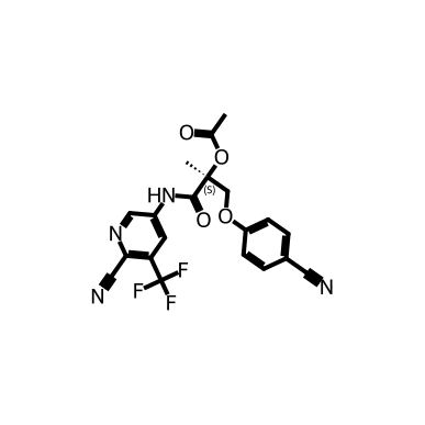 CC(=O)O[C@@](C)(COc1ccc(C#N)cc1)C(=O)Nc1cnc(C#N)c(C(F)(F)F)c1